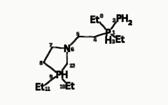 CC[PH](P)(CC)CCN1CC[PH](CC)(CC)C1